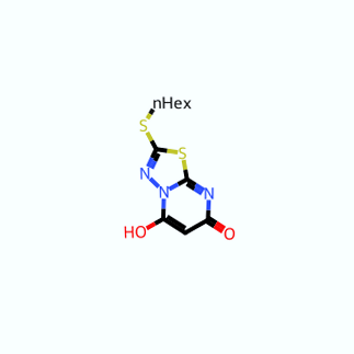 CCCCCCSc1nn2c(O)cc(=O)nc2s1